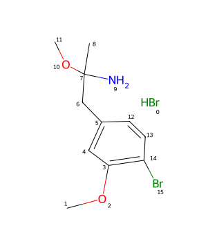 Br.COc1cc(CC(C)(N)OC)ccc1Br